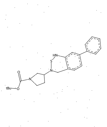 CC(C)(C)OC(=O)N1CCC(N2Cc3ccc(-c4ccccc4)cc3NS2)C1